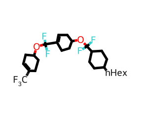 CCCCCCC1CCC(C(F)(F)OC2CC=C(C(F)(F)OC3CC=C(C(F)(F)F)CC3)CC2)CC1